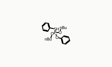 CCCCOP(OCCCC)(Oc1ccccc1)=[SH]c1ccccc1